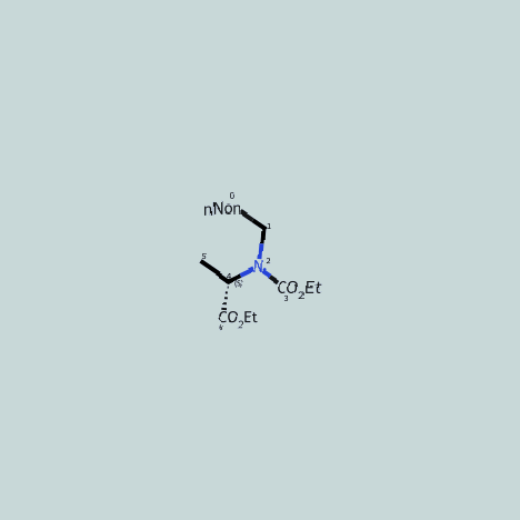 CCCCCCCCCCN(C(=O)OCC)[C@@H](C)C(=O)OCC